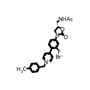 CC(=O)NC[C@H]1CN(c2ccc(-c3cc[n+](Cc4ccc(C)cc4)cc3)c(F)c2)C(=O)O1.[Br-]